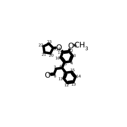 COc1ccc(C(CC=O)c2ccccc2)cc1OC1CCCC1